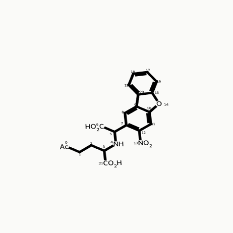 CC(=O)CCC(NC(C(=O)O)c1cc2c(cc1[N+](=O)[O-])oc1ccccc12)C(=O)O